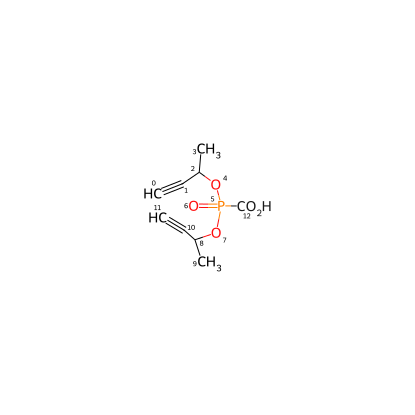 C#CC(C)OP(=O)(OC(C)C#C)C(=O)O